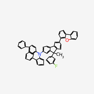 CC1(c2cccc(F)c2)c2ccc(-c3cccc4c3oc3ccccc34)cc2-c2ccc(N(c3ccc(-c4ccccc4)cc3)c3ccccc3-c3ccccc3)cc21